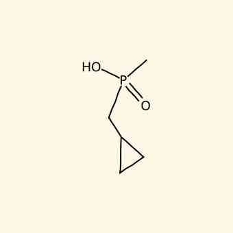 CP(=O)(O)CC1CC1